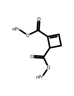 CCCOC(=O)C1=CCC1C(=O)OCCC